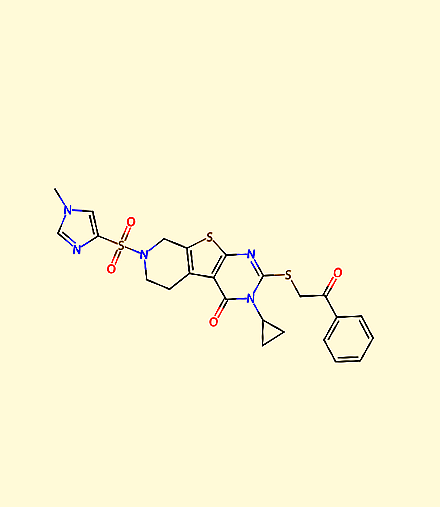 Cn1cnc(S(=O)(=O)N2CCc3c(sc4nc(SCC(=O)c5ccccc5)n(C5CC5)c(=O)c34)C2)c1